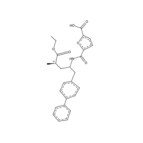 CCOC(=O)[C@H](C)CC(Cc1ccc(-c2ccccc2)cc1)NC(=O)c1ccc(C(=O)O)o1